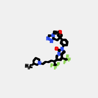 C[C@H]1CCCN(CCCCC(c2cc(C(F)(F)F)c3cn(-c4cccc(C5(Cc6nncn6C)COC5)c4)c(=O)n3c2)C(F)(F)F)C1